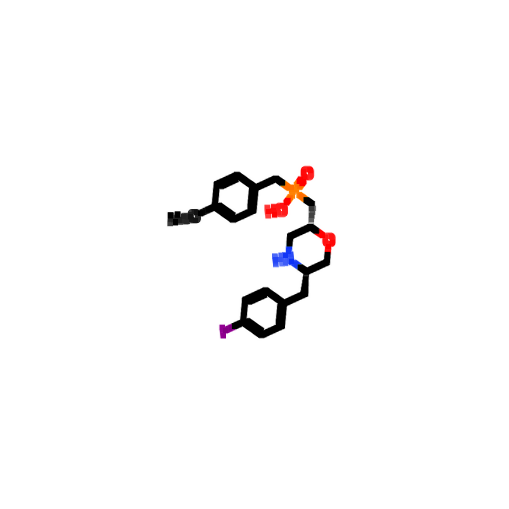 COc1ccc(CP(=O)(O)C[C@H]2CN[C@H](Cc3ccc(I)cc3)CO2)cc1